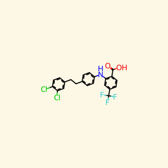 O=C(O)c1ccc(C(F)(F)F)cc1Nc1ccc(CCc2ccc(Cl)c(Cl)c2)cc1